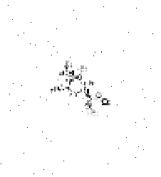 CCCC(SC(CCC)[SiH](OCC)OCC)[SiH](OCC)OCC